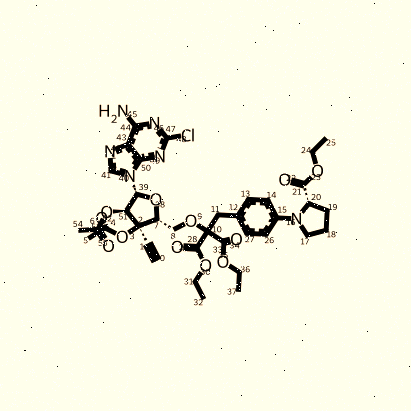 C#C[C@@]1(OC(C)=O)[C@@H](COC(Cc2ccc(N3CCC[C@H]3C(=O)OCC)cc2)(C(=O)OCC)C(=O)OCC)O[C@@H](n2cnc3c(N)nc(Cl)nc32)[C@@H]1OC(C)=O